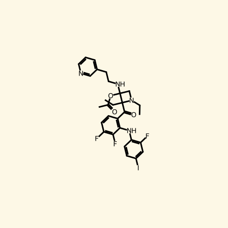 CCN1CC(NCCc2cccnc2)(OC(C)=O)C1(CC)C(=O)c1ccc(F)c(F)c1Nc1ccc(I)cc1F